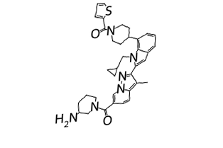 Cc1c(-c2cc3cccc(C4CCN(C(=O)c5cccs5)CC4)c3n2CC2CC2)nn2cc(C(=O)N3CCCC(N)C3)ccc12